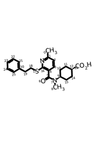 Cc1ccc(C(=O)N(C)[C@H]2CC[C@@H](C(=O)O)CC2)c(SCCc2ccccc2)n1